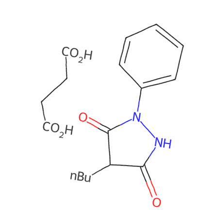 CCCCC1C(=O)NN(c2ccccc2)C1=O.O=C(O)CCC(=O)O